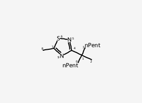 CCCCCC(C)(CCCCC)c1nsc(C)n1